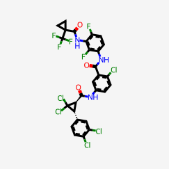 O=C(Nc1ccc(F)c(NC(=O)C2(C(F)(F)F)CC2)c1F)c1cc(NC(=O)[C@H]2[C@H](c3ccc(Cl)c(Cl)c3)C2(Cl)Cl)ccc1Cl